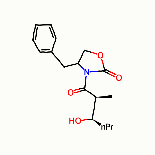 CCC[C@@H](O)[C@H](C)C(=O)N1C(=O)OCC1Cc1ccccc1